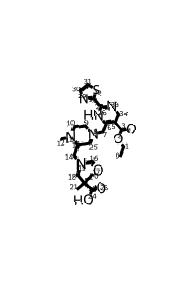 CCOC(=O)C1=C(CN2CCN(C)C(CN(C=O)CC(C)(C)C(=O)O)C2)NC(c2nccs2)=NC1